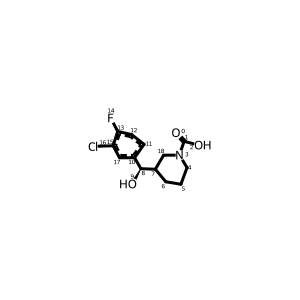 O=C(O)N1CCCC([C@@H](O)c2ccc(F)c(Cl)c2)C1